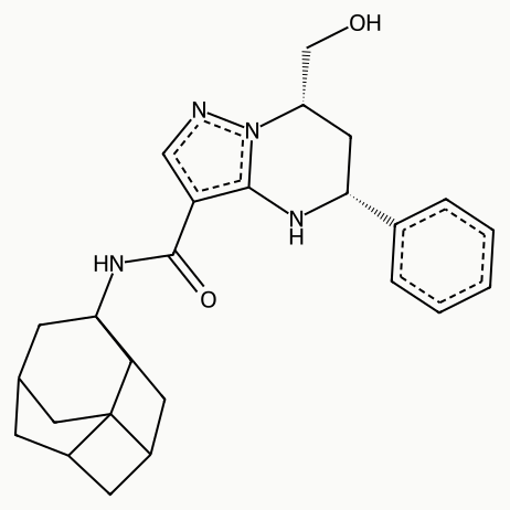 O=C(NC12CC3CC4CC(C1)C4(C3)C2)c1cnn2c1N[C@@H](c1ccccc1)C[C@H]2CO